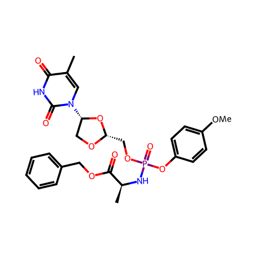 COc1ccc(OP(=O)(N[C@@H](C)C(=O)OCc2ccccc2)OC[C@@H]2OC[C@H](n3cc(C)c(=O)[nH]c3=O)O2)cc1